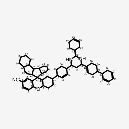 N#CC1=CC2C(C=C1)OC1CCC(C3C=CC(C4CC(C5=CCC(C6C=CC=CC6)CC5)NC(C5CC=CCC5)N4)CC3)CC1C21C2CCCCC2C2C3CCCCC3CCC21